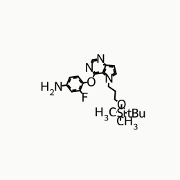 CC(C)(C)[Si](C)(C)OCCCn1ccc2ncnc(Oc3ccc(N)cc3F)c21